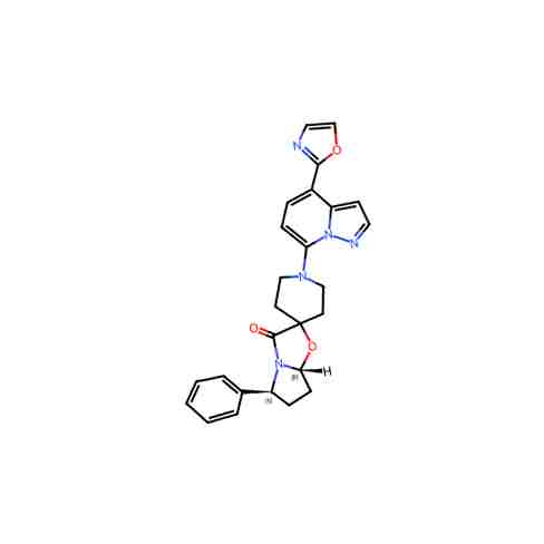 O=C1N2[C@@H](CC[C@H]2c2ccccc2)OC12CCN(c1ccc(-c3ncco3)c3ccnn13)CC2